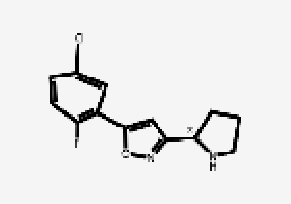 Fc1ccc(Cl)cc1-c1cc([C@H]2CCCN2)no1